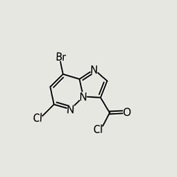 O=C(Cl)c1cnc2c(Br)cc(Cl)nn12